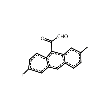 O=CC(=O)c1c2ccc(I)cc2cc2ccc(I)cc12